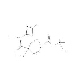 CCC1(C(=O)N(C)C2CC(F)C2)CCN(C(=O)OC(C)(C)C)CC1